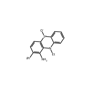 CCN1c2ccccc2[S+]([O-])c2ccc(C(C)C)c(N)c21